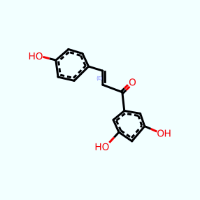 O=C(/C=C/c1ccc(O)cc1)c1cc(O)cc(O)c1